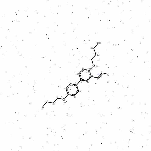 C/C=C/c1cc(-c2ccc(OCCCC)cc2)ccc1OCCCF